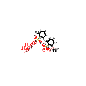 Cc1ccccc1S(=O)(=O)[O-].Cc1ccccc1S(=O)(=O)[O-].O.O.O.O.O.O.[Ni+2]